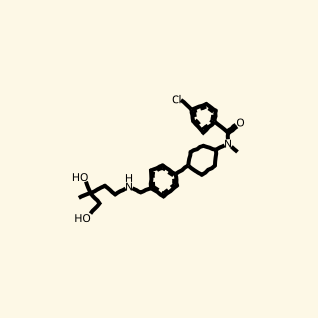 CN(C(=O)c1ccc(Cl)cc1)C1CCC(c2ccc(CNCCC(C)(O)CO)cc2)CC1